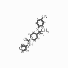 CC(F)(Sc1ccc(C#N)cc1)C1CCN(C(=O)Nc2ccon2)CC1